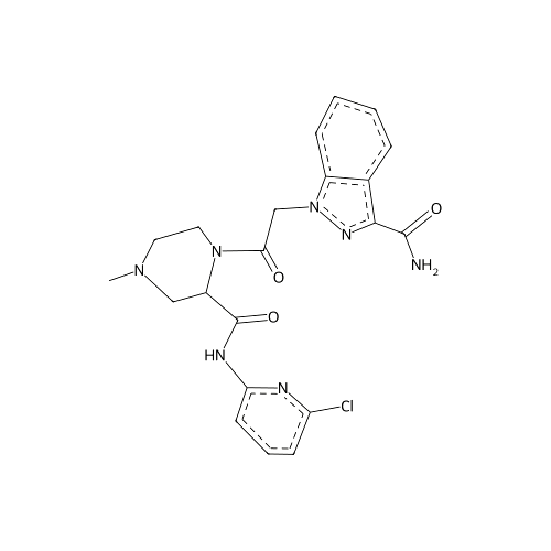 CN1CCN(C(=O)Cn2nc(C(N)=O)c3ccccc32)C(C(=O)Nc2cccc(Cl)n2)C1